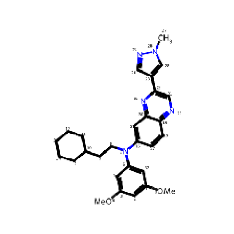 COc1cc(OC)cc(N(CCC2CCCCC2)c2ccc3ncc(-c4cnn(C)c4)nc3c2)c1